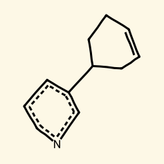 C1=CCC(c2cccnc2)CC1